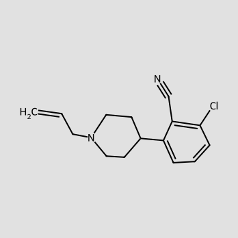 C=CCN1CCC(c2cccc(Cl)c2C#N)CC1